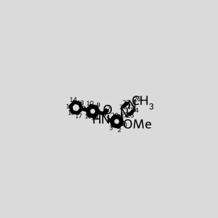 COc1ccc(NC(=O)c2ccc(C3CCCCC3)cc2)cc1N1CCN(C)CC1